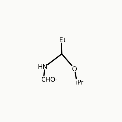 CCC(N[C]=O)OC(C)C